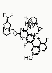 C#Cc1c(F)ccc2cc(O)cc(-c3ccc4c(N5C[C@@H]6CC[C@](C7CC7)(C5)N6)nc(OC[C@@]56CCCN5CC(=C(F)F)C6)nc4c3F)c12